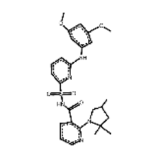 COc1cc(Nc2cccc(S(=O)(=O)NC(=O)c3cccnc3N3CC(C)CC3(C)C)n2)cc(OC)c1